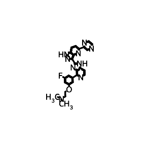 CN(C)CCOc1cc(F)cc(-c2nccc3[nH]c(-c4n[nH]c5ccc(-c6cnccn6)nc45)nc23)c1